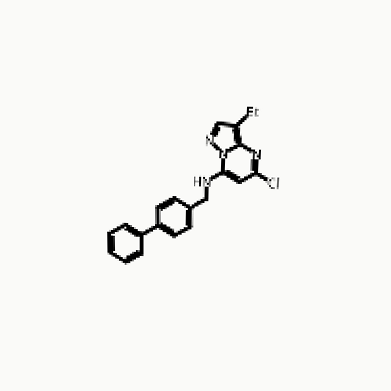 CCc1cnn2c(NCc3ccc(-c4ccccc4)cc3)cc(Cl)nc12